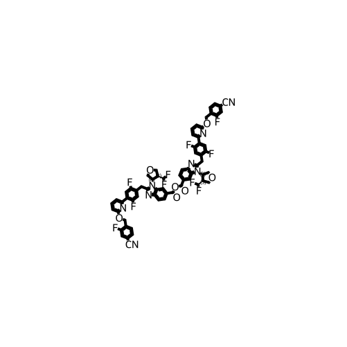 N#Cc1ccc(COc2cccc(-c3cc(F)c(Cc4nc5ccc(C(=O)OC(=O)c6ccc7nc(Cc8cc(F)c(-c9cccc(OCc%10ccc(C#N)cc%10F)n9)cc8F)n([C@H]8COC[C@H]8C(F)F)c7c6)cc5n4[C@H]4COC[C@H]4C(F)F)cc3F)n2)c(F)c1